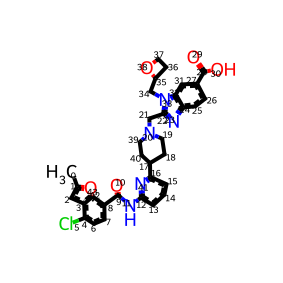 Cc1cc2c(Cl)ccc(C(=O)Nc3cccc(C4CCN(Cc5nc6ccc(C(=O)O)cc6n5CC5CCO5)CC4)n3)c2o1